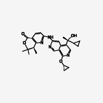 C[C@@H]1c2nc(Nc3cc4c([C@](C)(O)C5CC5)cnc(OC5CC5)c4cn3)ccc2C(=O)OC1(C)C